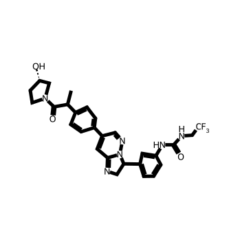 CC(C(=O)N1CC[C@H](O)C1)c1ccc(C2=CC3=NCC(c4cccc(NC(=O)NCC(F)(F)F)c4)N3N=C2)cc1